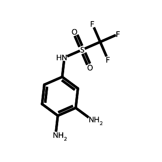 Nc1ccc(NS(=O)(=O)C(F)(F)F)cc1N